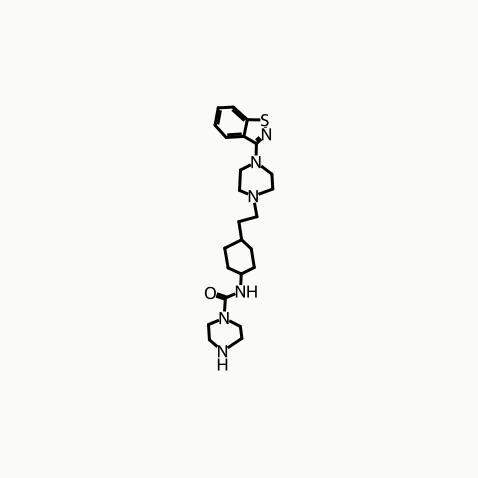 O=C(NC1CCC(CCN2CCN(c3nsc4ccccc34)CC2)CC1)N1CCNCC1